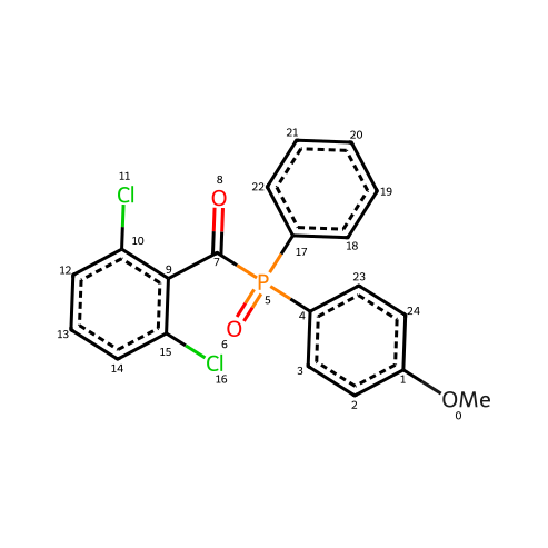 COc1ccc(P(=O)(C(=O)c2c(Cl)cccc2Cl)c2ccccc2)cc1